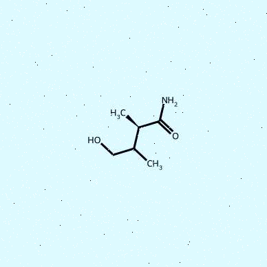 C[C](CO)[C@@H](C)C(N)=O